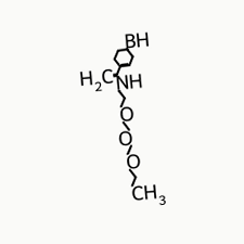 B=C1CC=C(C(=C)NCCCOCCOCCOCCCC)CC1